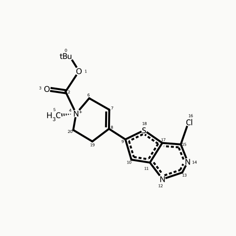 CC(C)(C)OC(=O)[N@@+]1(C)CC=C(c2cc3ncnc(Cl)c3s2)CC1